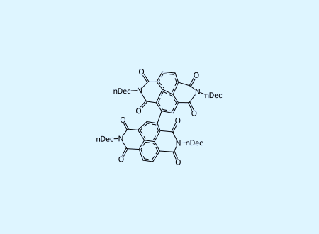 CCCCCCCCCCN1C(=O)c2ccc3c4c(c(-c5cc6c7c(ccc8c7c5C(=O)N(CCCCCCCCCC)C8=O)C(=O)N(CCCCCCCCCC)C6=O)cc(c24)C1=O)C(=O)N(CCCCCCCCCC)C3=O